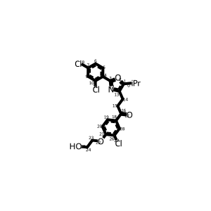 CC(C)c1oc(-c2ccc(Cl)cc2Cl)nc1CCC(=O)c1ccc(OCCO)c(Cl)c1